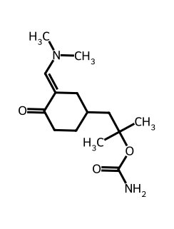 CN(C)C=C1CC(CC(C)(C)OC(N)=O)CCC1=O